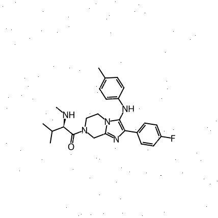 CN[C@@H](C(=O)N1CCn2c(nc(-c3ccc(F)cc3)c2Nc2ccc(C)cc2)C1)C(C)C